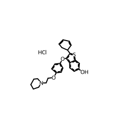 Cl.Oc1ccc2c(Oc3ccc(OCCN4CCCCC4)cc3)c(C3C=CC=CC3)sc2c1